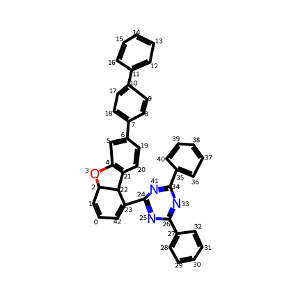 C1=CC2Oc3cc(-c4ccc(-c5ccccc5)cc4)ccc3C2C(c2nc(-c3ccccc3)nc(-c3ccccc3)n2)=C1